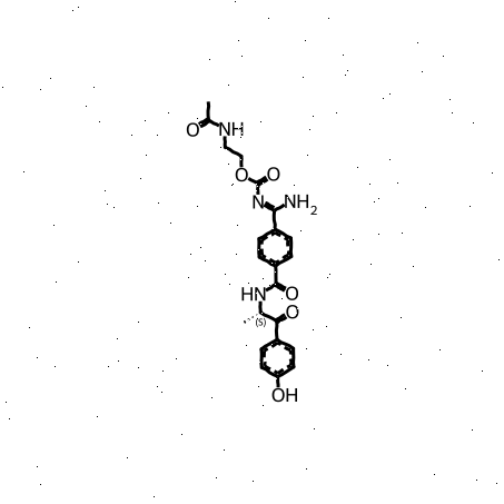 CC(=O)NCCOC(=O)N=C(N)c1ccc(C(=O)N[C@@H](C)C(=O)c2ccc(O)cc2)cc1